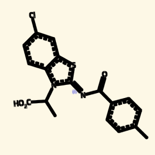 Cc1ccc(C(=O)/N=c2\sc3cc(Cl)ccc3n2C(C)C(=O)O)cc1